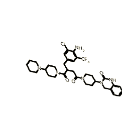 Nc1c(Cl)cc(CC(CC(=O)N2CCC(N3Cc4ccccc4NC3=O)CC2)C(=O)N2CCC(N3CCCCC3)CC2)cc1C(F)(F)F